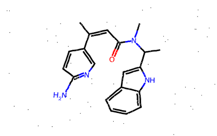 CC(=CC(=O)N(C)C(C)c1cc2ccccc2[nH]1)c1ccc(N)nc1